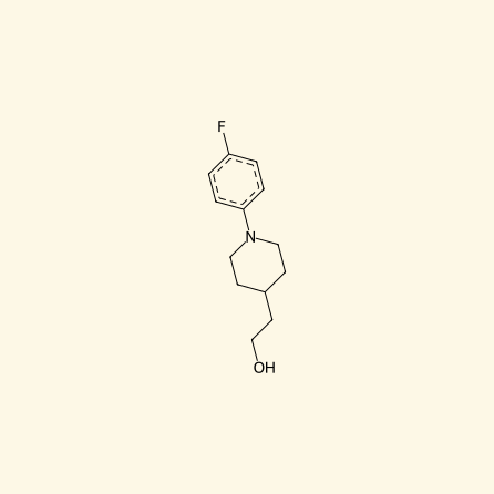 OCCC1CCN(c2ccc(F)cc2)CC1